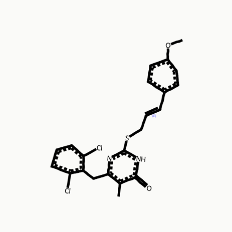 COc1ccc(/C=C/CSc2nc(Cc3c(Cl)cccc3Cl)c(C)c(=O)[nH]2)cc1